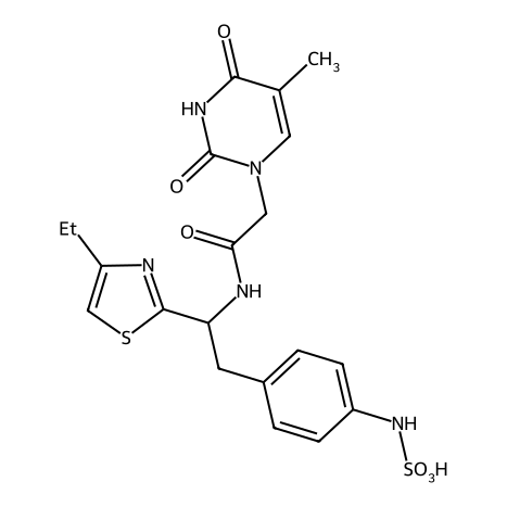 CCc1csc(C(Cc2ccc(NS(=O)(=O)O)cc2)NC(=O)Cn2cc(C)c(=O)[nH]c2=O)n1